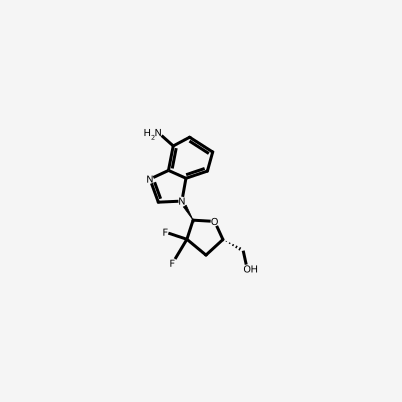 Nc1cccc2c1ncn2[C@H]1O[C@H](CO)CC1(F)F